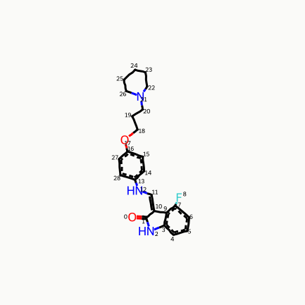 O=C1Nc2cccc(F)c2C1=CNc1ccc(OCCCN2CCCCC2)cc1